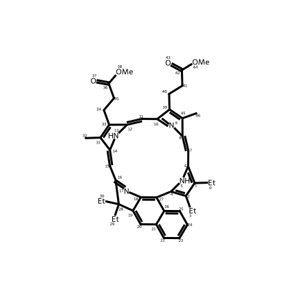 CCc1c(CC)c2[nH]c1cc1nc(cc3[nH]c(cc4nc5c(cc6ccccc6c52)C4(CC)CC)c(C)c3CCC(=O)OC)C(CCC(=O)OC)=C1C